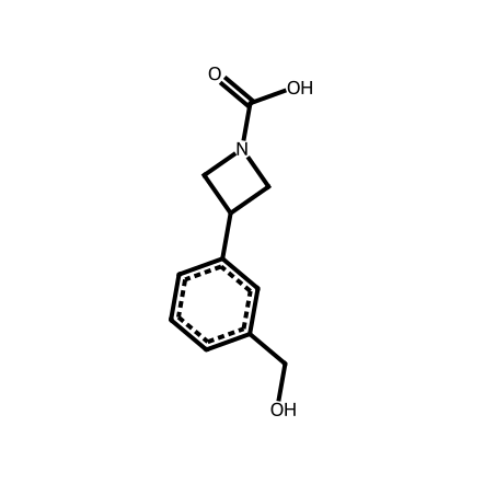 O=C(O)N1CC(c2cccc(CO)c2)C1